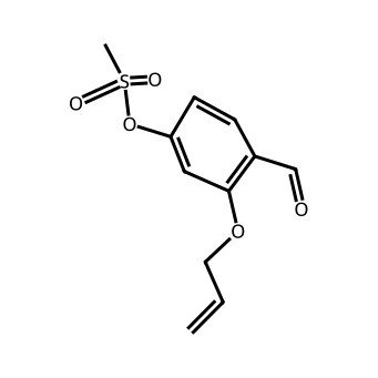 C=CCOc1cc(OS(C)(=O)=O)ccc1C=O